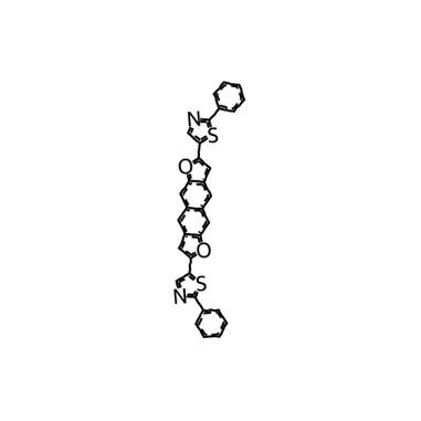 c1ccc(-c2ncc(-c3cc4cc5cc6oc(-c7cnc(-c8ccccc8)s7)cc6cc5cc4o3)s2)cc1